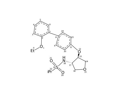 CCOc1ccccc1-c1ccc(O[C@H]2COC[C@@H]2NS(=O)(=O)C(C)C)cc1